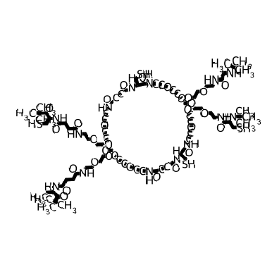 CCC(NC(=O)CCC(=O)NCCOCCOC1(OCCOCCNC(=O)CCC(=O)NC(CS)C(=O)C(C)(C)C)OCCOCCNC(=O)CCC(=O)NC(CS)C(=O)NCCOCCOC(OCCOCCNC(=O)CNC(C)(C)C)(OCCOCCNC(=O)C(CS)NC(C)(C)C)OCCOCCNC(=O)C(CS)NC(=O)CCC(=O)NCCOCCO1)C(=O)C(C)(C)C